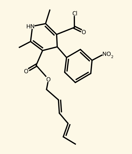 CC=CC=CCOC(=O)C1=C(C)NC(C)=C(C(=O)Cl)C1c1cccc([N+](=O)[O-])c1